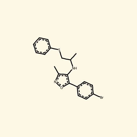 Cc1noc(-c2ccc(Br)cc2)c1NC(C)CSc1ccccc1